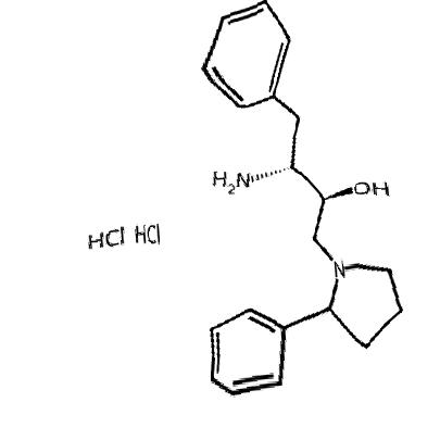 Cl.Cl.N[C@H](Cc1ccccc1)[C@@H](O)CN1CCCC1c1ccccc1